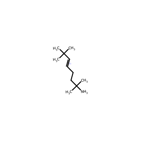 CC(C)(C)/C=C/CCC(C)(C)N